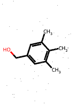 [CH2]c1c(C)cc(CO)cc1C